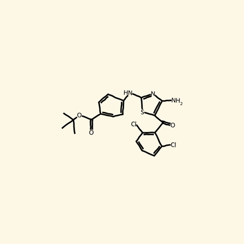 CC(C)(C)OC(=O)c1ccc(Nc2nc(N)c(C(=O)c3c(Cl)cccc3Cl)s2)cc1